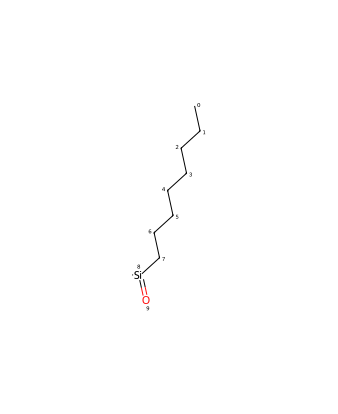 CCCCCCCC[Si]=O